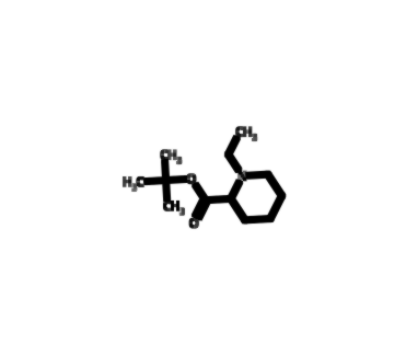 CCN1CCCCC1C(=O)OC(C)(C)C